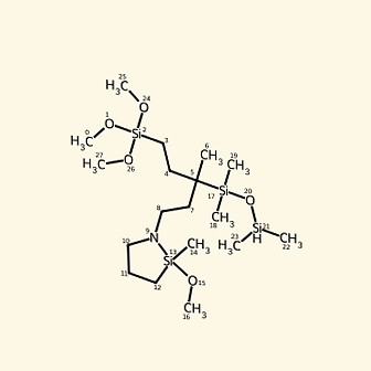 CO[Si](CCC(C)(CCN1CCC[Si]1(C)OC)[Si](C)(C)O[SiH](C)C)(OC)OC